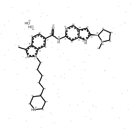 Cc1nn(CCCCCC2CCNCC2)c2cc(C(=O)Nc3cc4[nH]c([C@H]5CCCN5C)cc4cn3)ccc12.Cl.Cl